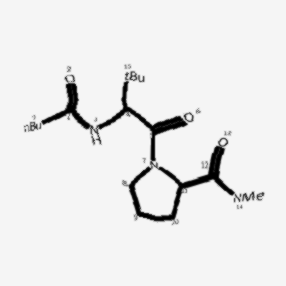 CCCCC(=O)NC(C(=O)N1CCCC1C(=O)NC)C(C)(C)C